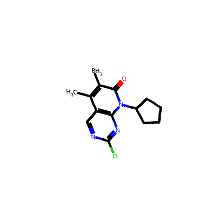 Bc1c(C)c2cnc(Cl)nc2n(C2CCCC2)c1=O